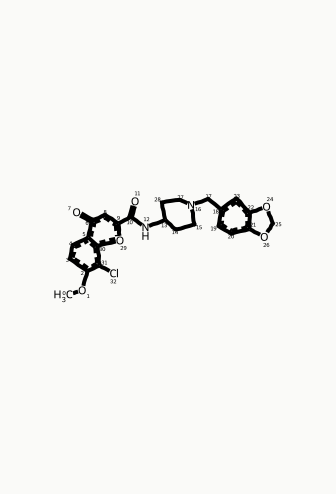 COc1ccc2c(=O)cc(C(=O)NC3CCN(Cc4ccc5c(c4)OCO5)CC3)oc2c1Cl